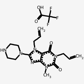 C=CCn1c(=O)c2c(nc(N3CCNCC3)n2CC=C)n(C)c1=O.O=C(O)C(F)(F)F